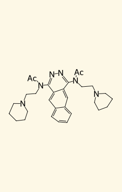 CC(=O)N(CCN1CCCCC1)c1nnc(N(CCN2CCCCC2)C(C)=O)c2cc3ccccc3cc12